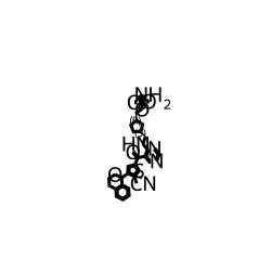 N#Cc1sc(C(=O)c2cncnc2NC[C@H]2CC[C@@H](COS(N)(=O)=O)C2)cc1C1OCCc2ccccc21